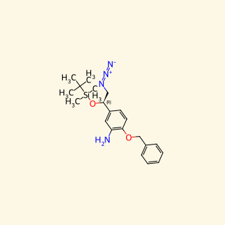 CC(C)(C)[Si](C)(C)O[C@@H](CN=[N+]=[N-])c1ccc(OCc2ccccc2)c(N)c1